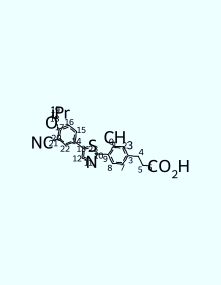 Cc1cc(CCC(=O)O)ccc1-c1ncc(-c2ccc(OC(C)C)c(C#N)c2)s1